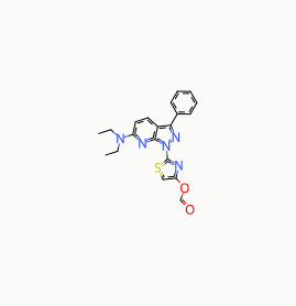 CCN(CC)c1ccc2c(-c3ccccc3)nn(-c3nc(OC=O)cs3)c2n1